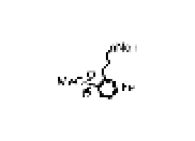 CCCCCCCCCCCCc1ccccc1S(=O)(=O)OC.[Fe]